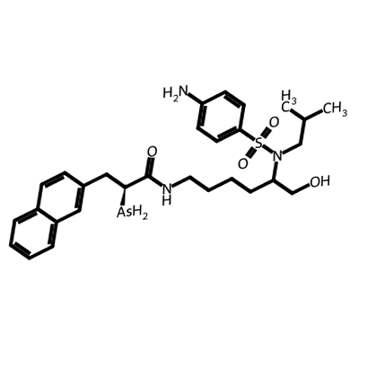 CC(C)CN(C(CO)CCCCNC(=O)[C@@H]([AsH2])Cc1ccc2ccccc2c1)S(=O)(=O)c1ccc(N)cc1